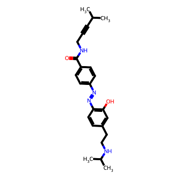 CC(C)C#CCNC(=O)c1ccc(/N=N/c2ccc(CCNC(C)C)cc2O)cc1